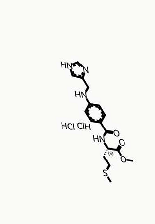 COC(=O)[C@H](CCSC)NC(=O)c1ccc(NCc2c[nH]cn2)cc1.Cl.Cl